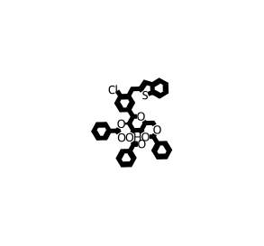 O=C(OC1[C@@H]2OC(c3ccccc3)OCC2OC(c2ccc(Cl)c(Cc3cc4ccccc4s3)c2)[C@@H]1OC(=O)c1ccccc1)c1ccccc1